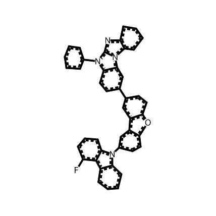 Fc1cccc2c1c1ccccc1n2-c1ccc2oc3ccc(-c4ccc5c(c4)n4c6ccccc6nc4n5-c4ccccc4)cc3c2c1